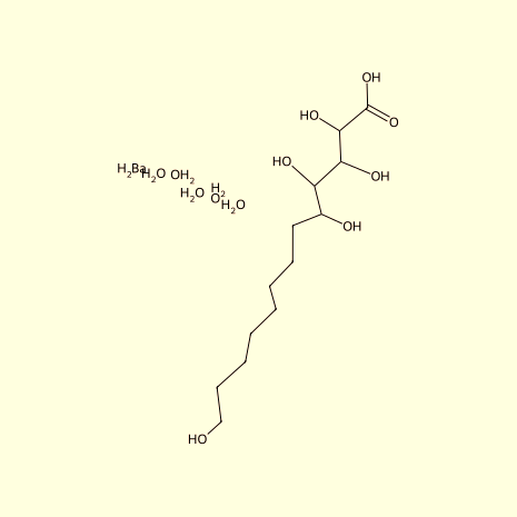 O.O.O.O.O.O=C(O)C(O)C(O)C(O)C(O)CCCCCCCCO.[BaH2]